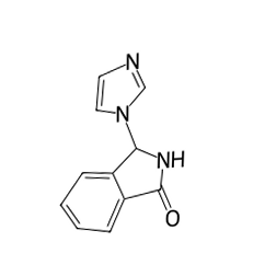 O=C1NC(n2ccnc2)c2ccccc21